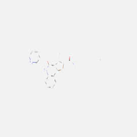 COc1c(C(=O)NCCCOC(C)C)sc2c1c(=O)n(Cc1ccccn1)c1ccccc21